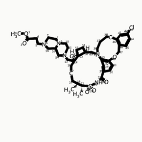 COC(=O)CCN1CCN2CCN(CC3(O)CCC[C@H](C)[C@@H](C)S(=O)(=O)NC(=O)c4ccc5c(c4)N(CCCCc4cc(Cl)ccc4CO5)C[C@@H]4CC[C@H]43)CC2C1